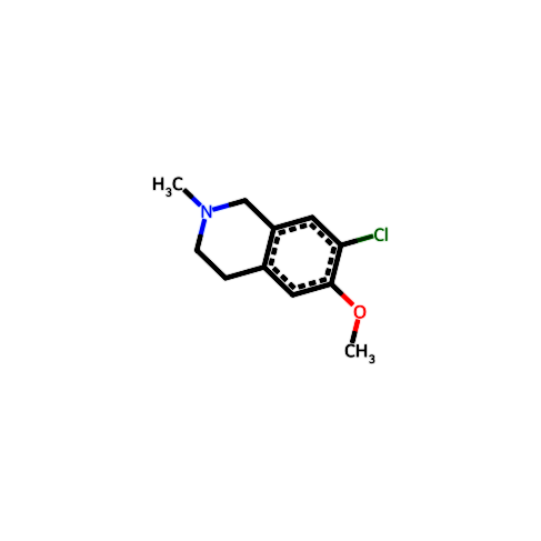 COc1cc2c(cc1Cl)CN(C)CC2